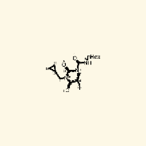 CCCCCCNC(=O)n1cc(F)c(=O)n(CC2CC2)c1=O